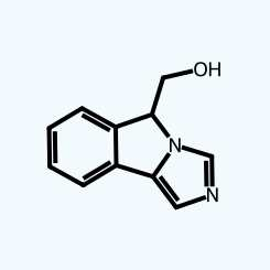 OCC1c2ccccc2-c2cncn21